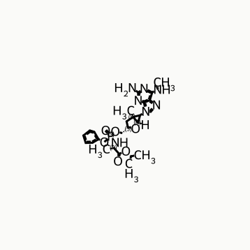 CNc1nc(N)nc2c1ncn2C1[C@@H]2O[C@H](CO[P@@](=O)(N[C@H](C)C(=O)OC(C)C)Oc3ccccc3)C[C@@]12C